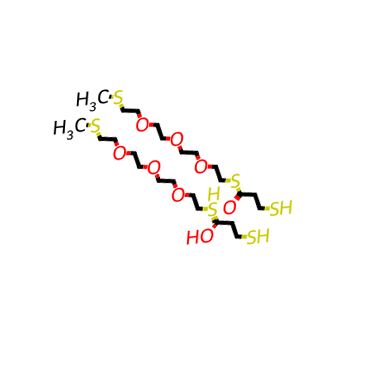 CSCCOCCOCCOCCSC(=O)CCS.CSCCOCCOCCOCC[SH]=C(O)CCS